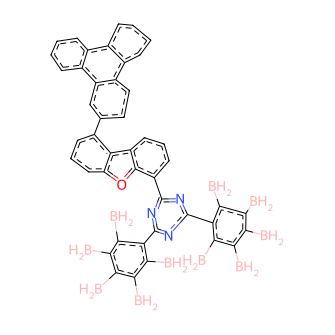 Bc1c(B)c(B)c(-c2nc(-c3c(B)c(B)c(B)c(B)c3B)nc(-c3cccc4c3oc3cccc(-c5ccc6c7ccccc7c7ccccc7c6c5)c34)n2)c(B)c1B